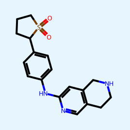 O=S1(=O)CCCC1c1ccc(Nc2cc3c(cn2)CCNC3)cc1